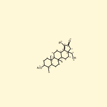 CC(=O)OC1CCC2(C)C(CCC3(C)C4CCC5(CO)CC(=O)C(C(C)C)=C5C4CCC32)C1C